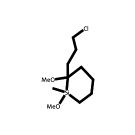 COC1(CCCCl)CCCC[Si]1(C)OC